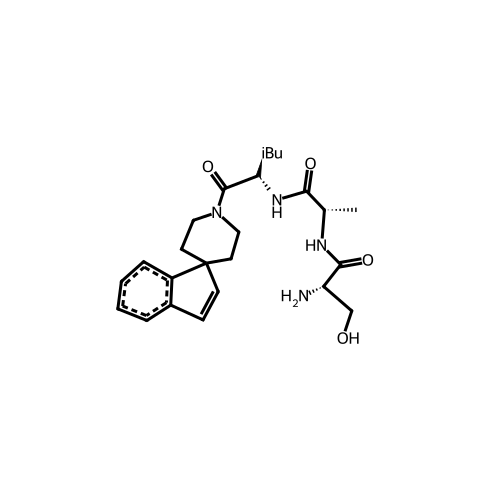 CC[C@H](C)[C@H](NC(=O)[C@H](C)NC(=O)[C@@H](N)CO)C(=O)N1CCC2(C=Cc3ccccc32)CC1